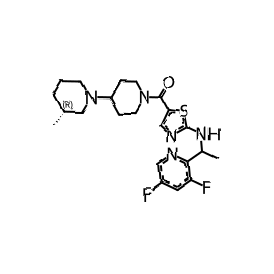 CC(Nc1ncc(C(=O)N2CCC(N3CCC[C@@H](C)C3)CC2)s1)c1ncc(F)cc1F